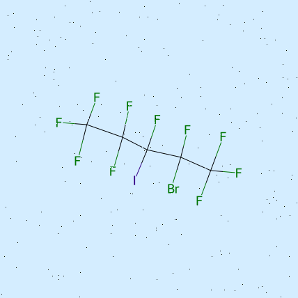 FC(F)(F)C(F)(F)C(F)(I)C(F)(Br)C(F)(F)F